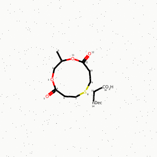 CC1COC(=O)CCSCCC(=O)O1.CCCCCCCCCCCC(=O)O